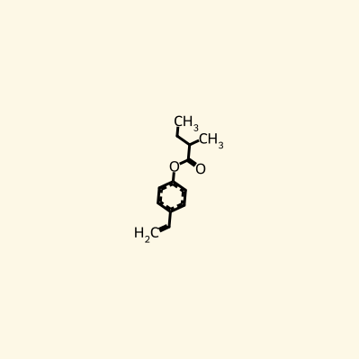 C=Cc1ccc(OC(=O)C(C)CC)cc1